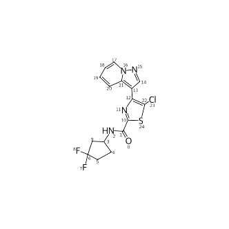 O=C(NC1CCC(F)(F)C1)c1nc(-c2cnn3ccccc23)c(Cl)s1